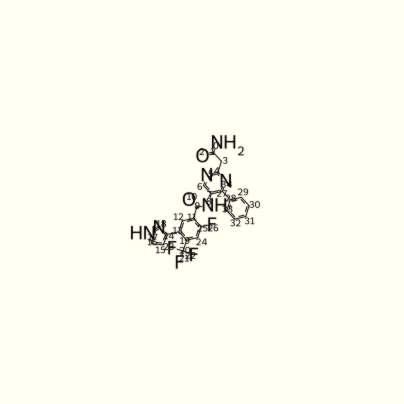 NC(=O)Cc1ncc(NC(=O)c2cc(-c3cc[nH]n3)c(C(F)(F)F)cc2F)c(-c2ccccc2)n1